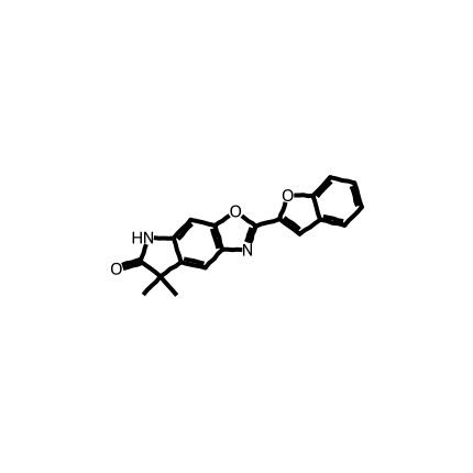 CC1(C)C(=O)Nc2cc3oc(-c4cc5ccccc5o4)nc3cc21